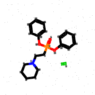 Cl.O=P(CCN1CCCCC1)(Oc1ccccc1)Oc1ccccc1